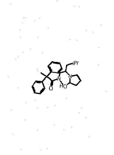 CC(C)CC(CN(C)C(=O)C(C)(c1ccccc1)c1ccccc1)N1CCCC1O